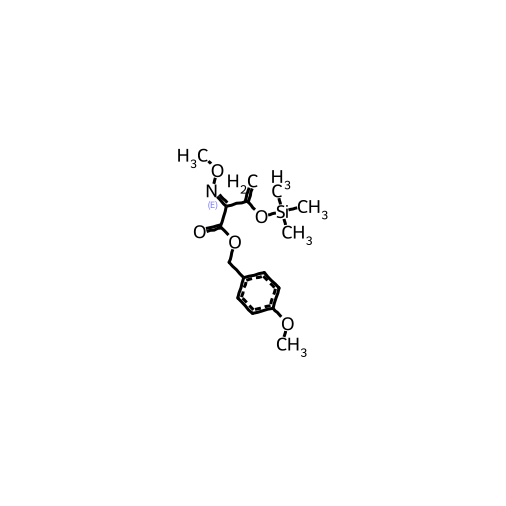 C=C(O[Si](C)(C)C)/C(=N\OC)C(=O)OCc1ccc(OC)cc1